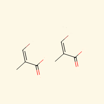 CC(=CBr)C(=O)[O-].CC(=CBr)C(=O)[O-].[Cd+2]